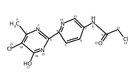 Cc1nc(-c2ccc(NC(=O)CCl)cn2)nc(O)c1Cl